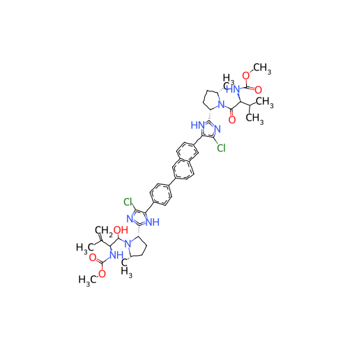 C=C(C)[C@H](NC(=O)OC)C(O)N1[C@@H](C)CC[C@H]1c1nc(Cl)c(-c2ccc(-c3ccc4cc(-c5[nH]c([C@@H]6CC[C@H](C)N6C(=O)[C@@H](NC(=O)OC)C(C)C)nc5Cl)ccc4c3)cc2)[nH]1